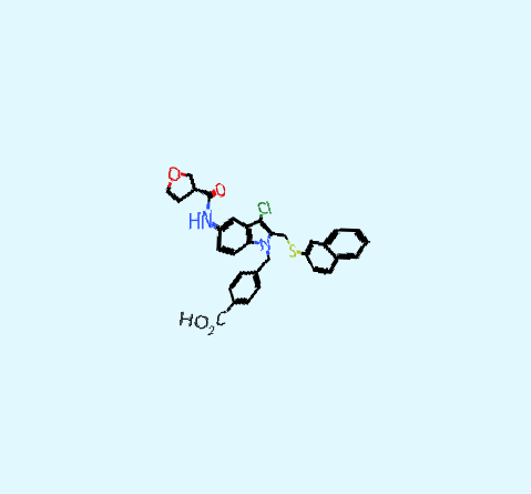 O=C(O)c1ccc(Cn2c(CSc3ccc4ccccc4c3)c(Cl)c3cc(NC(=O)C4CCOC4)ccc32)cc1